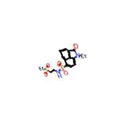 CCN1C(=O)c2cccc3c(S(=O)(=O)NCCS(=O)(=O)CC)ccc1c23